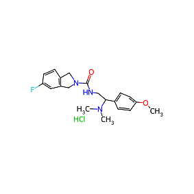 COc1ccc(C(CNC(=O)N2Cc3ccc(F)cc3C2)N(C)C)cc1.Cl